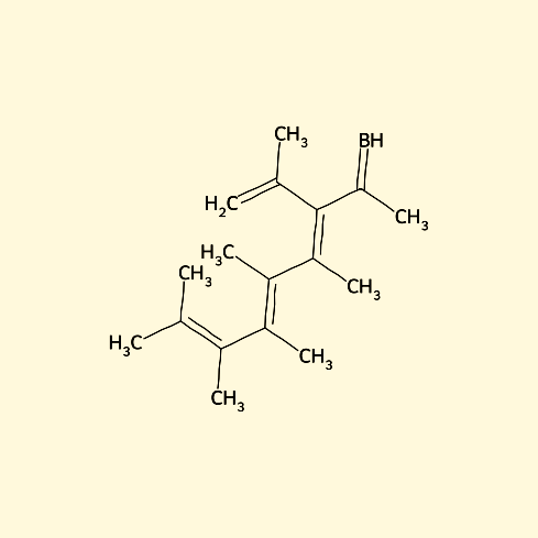 B=C(C)/C(C(=C)C)=C(C)/C(C)=C(\C)C(C)=C(C)C